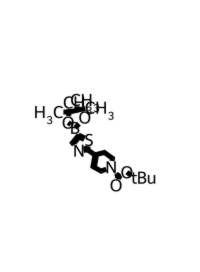 CC(C)(C)OC(=O)N1CC=C(c2ncc(B3OC(C)(C)C(C)(C)O3)s2)CC1